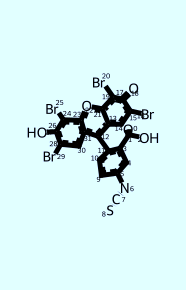 O=C(O)c1cc(N=C=S)ccc1-c1c2cc(Br)c(=O)c(Br)c-2oc2c(Br)c(O)c(Br)cc12